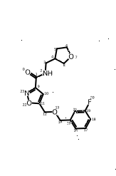 O=C(NCC1CCOC1)c1cc(COCc2cccc(F)c2)on1